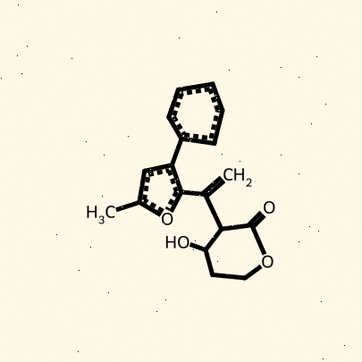 C=C(c1oc(C)cc1-c1ccccc1)C1C(=O)OCCC1O